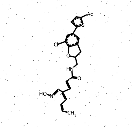 C\C=C/C=C(/C=C/C(=O)NCC1Cc2cc(-c3ccc(C(C)=O)s3)cc(Cl)c2O1)\C=N\O